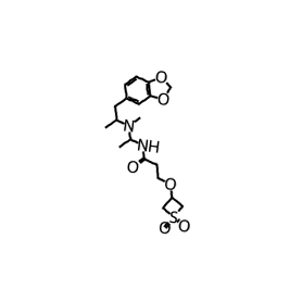 CC(Cc1ccc2c(c1)OCO2)N(C)C(C)NC(=O)CCOC1CS(=O)(=O)C1